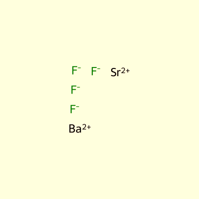 [Ba+2].[F-].[F-].[F-].[F-].[Sr+2]